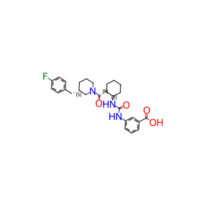 O=C(Nc1cccc(C(=O)O)c1)N[C@@H]1CCCC[C@H]1C(=O)N1CCC[C@@H](Cc2ccc(F)cc2)C1